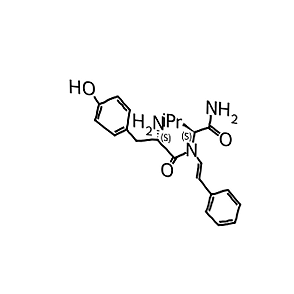 CC(C)[C@@H](C(N)=O)N(C=Cc1ccccc1)C(=O)[C@@H](N)Cc1ccc(O)cc1